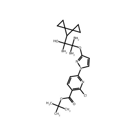 BC(B)(Oc1ccn(-c2ccc(C(=O)OC(C)(C)C)c(Cl)n2)n1)C(B)(O)C1C2(CC2)C12CC2